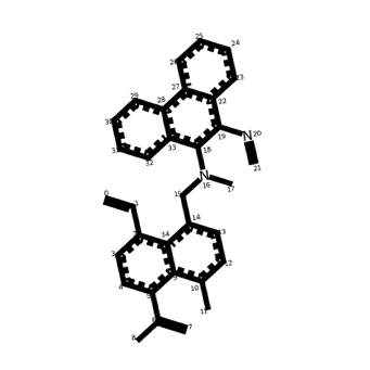 C=Cc1ccc(C(=C)C)c2c(C)ccc(CN(C)c3c(N=C)c4ccccc4c4ccccc34)c12